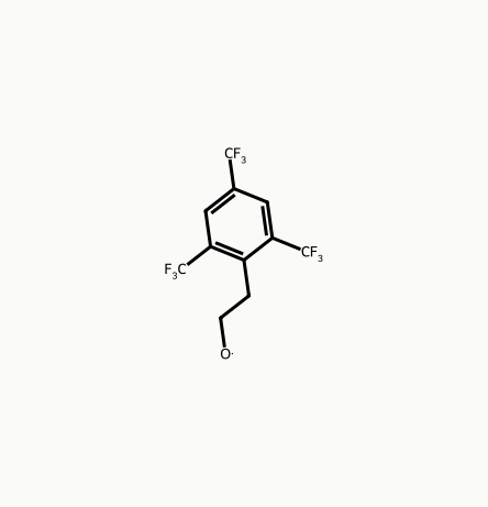 [O]CCc1c(C(F)(F)F)cc(C(F)(F)F)cc1C(F)(F)F